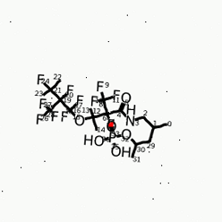 CC(CNC(=O)C(F)(C(F)(F)F)C(C)(C)OC(F)(F)C(F)(C(C)(C)F)C(F)(F)F)CC(C)OP(=O)(O)O